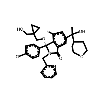 CC(O)(c1cc(F)c2c(c1)C(=O)N(Cc1ccccn1)[C@@]2(OCC1(CO)CC1)c1ccc(Cl)cc1)C1CCOCC1